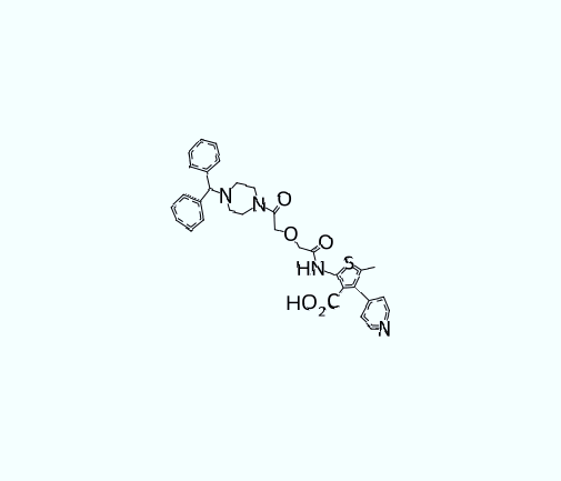 Cc1sc(NC(=O)COCC(=O)N2CCN(C(c3ccccc3)c3ccccc3)CC2)c(C(=O)O)c1-c1ccncc1